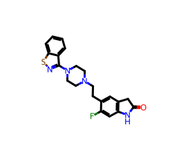 O=C1Cc2cc(CCN3CCN(c4nsc5ccccc45)CC3)c(F)cc2N1